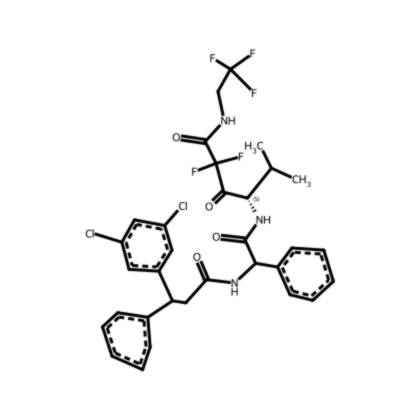 CC(C)[C@H](NC(=O)C(NC(=O)CC(c1ccccc1)c1cc(Cl)cc(Cl)c1)c1ccccc1)C(=O)C(F)(F)C(=O)NCC(F)(F)F